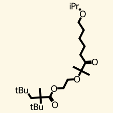 CC(C)OCCCCCC(=O)C(C)(C)OCCOC(=O)C(C)(CC(C)(C)C)C(C)(C)C